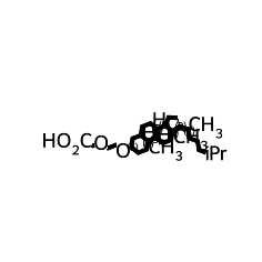 CC(C)CCC[C@@H](C)[C@H]1CC[C@H]2[C@@H]3CC=C4C[C@@H](OCCOCC(=O)O)CC[C@]4(C)[C@H]3CC[C@]12C